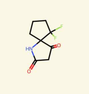 O=C1CC(=O)C2(CCCC2(F)F)N1